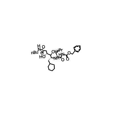 CCCCNS(=O)(=O)C[C@@H](O)C(O)[C@@H](CC1CCCCC1)N[C@@H](CC(C)C)C(=O)NC(=O)OCc1ccccc1